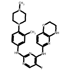 Cc1cc(Nc2ncc(F)c(Nc3ccc4c(n3)NCCO4)n2)ccc1N1CCN(C)CC1